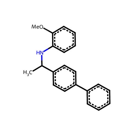 COc1ccccc1NC(C)c1ccc(-c2ccccc2)cc1